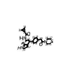 O=C(Nc1cc(-c2ccc(CC(=O)N3CCSCC3)cc2)c2cc[nH]c2n1)C1CC1